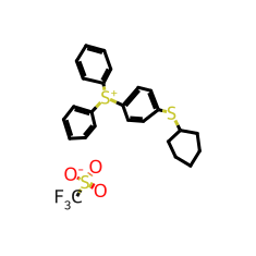 O=S(=O)([O-])C(F)(F)F.c1ccc([S+](c2ccccc2)c2ccc(SC3CCCCC3)cc2)cc1